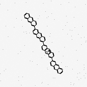 O=C1SC2c3cc(-c4ccc5cc6ccccc6cc5c4)ccc3C1c1cc(-c3ccc4cc5cc(-c6ccc7cc8ccccc8cc7c6)ccc5cc4c3)ccc12